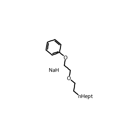 CCCCCCCCCOCCOc1ccccc1.[NaH]